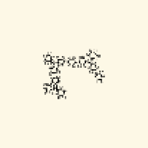 c1ccc(-c2ccc(N(c3ccccc3)c3ccc(-c4ccc(-c5ccc6c(c5)c5cc(-c7ccc8c(c7)c7ccccc7n8-c7ccccc7)ccc5n6-c5ccccc5)cc4)cc3)cc2)cc1